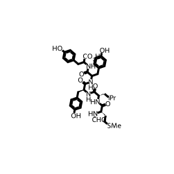 CSCC[C@H](NC=O)C(=O)N[C@@H](CC(C)C)C(=O)N[C@@H](Cc1ccc(O)cc1)C(=O)NC(Cc1ccc(O)cc1)C(=O)NC(Cc1ccc(O)cc1)C(=O)O